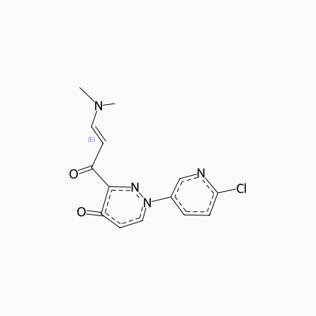 CN(C)/C=C/C(=O)c1nn(-c2ccc(Cl)nc2)ccc1=O